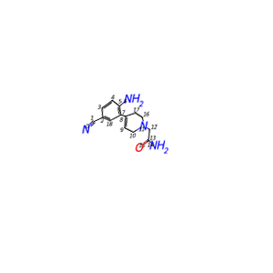 N#Cc1ccc(N)c(C2=CCN(CC(N)=O)CC2)c1